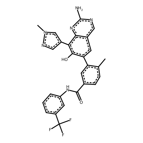 Cc1ccc(C(=O)Nc2cccc(C(F)(F)F)c2)cc1-c1cc2cnc(N)nc2c(-c2cnn(C)c2)c1O